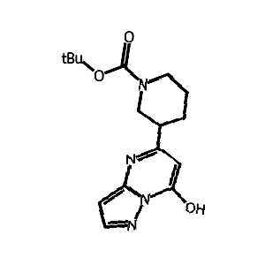 CC(C)(C)OC(=O)N1CCCC(c2cc(O)n3nccc3n2)C1